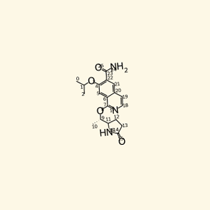 CC(C)Oc1cc2c(O[C@@H](C)C3CCC(=O)N3)nccc2cc1C(N)=O